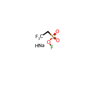 O=S(=O)(CC(F)(F)F)OF.[NaH]